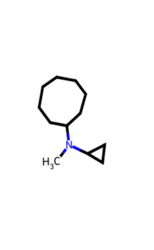 CN(C1CCCCCCC1)C1CC1